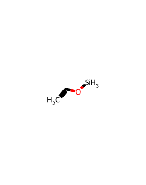 C=CO[SiH3]